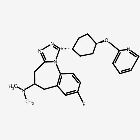 CN(C)C1Cc2cc(F)ccc2-n2c(nnc2[C@H]2CC[C@H](Oc3ccccn3)CC2)C1